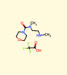 CNCCN(C)C(=O)N1CCOCC1.O=C(O)C(F)(F)F